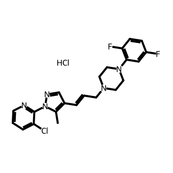 Cc1c(C=CCN2CCN(c3cc(F)ccc3F)CC2)cnn1-c1ncccc1Cl.Cl